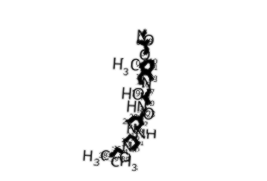 Cc1c(OCc2cnco2)ccc2c1CCN(C[C@@H](O)CNC(=O)c1ccnc(NC3CCN(C(=O)CC(C)C)CC3)c1)C2